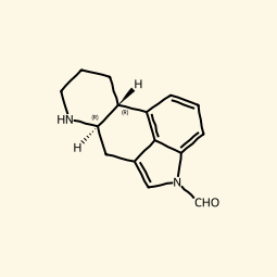 O=Cn1cc2c3c(cccc31)[C@H]1CCCN[C@@H]1C2